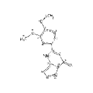 COc1ccc(C2=CC(=O)B3N=CC=C3N2)cc1OC